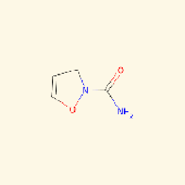 NC(=O)N1CC=CO1